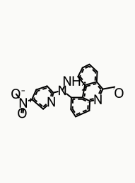 NN(c1ccc([N+](=O)[O-])cn1)c1cccc2nc(C=O)c3ccccc3c12